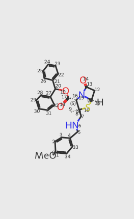 COc1ccc(CNC[C@]2(C)S[C@@H]3CC(=O)N3[C@H]2C(=O)OC(c2ccccc2)c2ccccc2)cc1